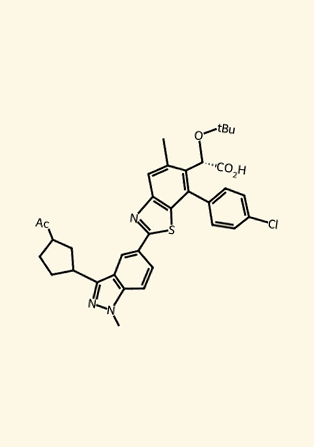 CC(=O)C1CCC(c2nn(C)c3ccc(-c4nc5cc(C)c([C@H](OC(C)(C)C)C(=O)O)c(-c6ccc(Cl)cc6)c5s4)cc23)C1